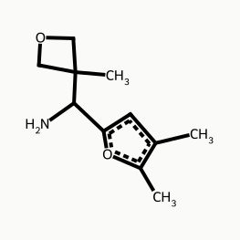 Cc1cc(C(N)C2(C)COC2)oc1C